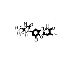 CC(C)c1cc(Oc2c(Cl)cc(N3NC(C)(C)NC3=O)cc2Cl)n[nH]c1=O